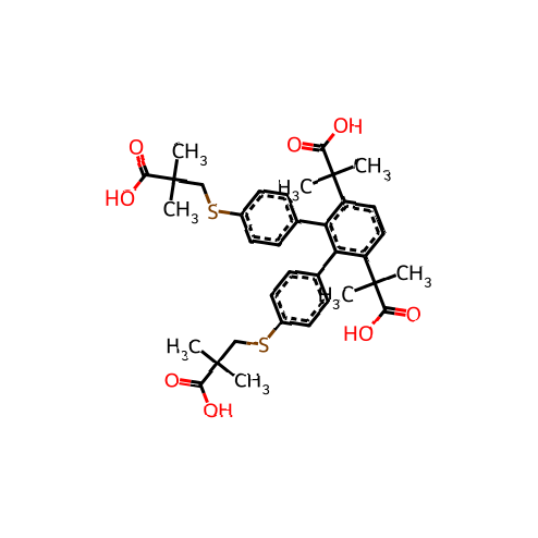 CC(C)(CSc1ccc(-c2c(C(C)(C)C(=O)O)ccc(C(C)(C)C(=O)O)c2-c2ccc(SCC(C)(C)C(=O)O)cc2)cc1)C(=O)O